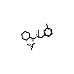 Cc1cccc(CN[C@H](CN(C)C)C2CCCCC2)c1